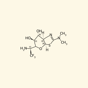 CN(C)C1=N[C@@H]2[C@@H](O)[C@H](O)C([C@H](N)C(F)(F)F)O[C@@H]2S1